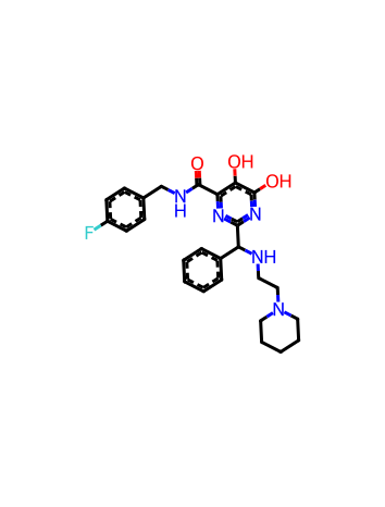 O=C(NCc1ccc(F)cc1)c1nc(C(NCCN2CCCCC2)c2ccccc2)nc(O)c1O